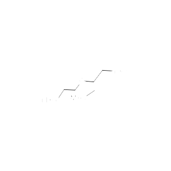 CCCCCCCCCCCCOCCCCCCCCCCCC.CSC